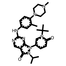 Cc1cc(Nc2ncc3c(=O)n(C(C)C)n(-c4ccc(=O)n(C(C)(C)C)c4)c3n2)ccc1N1CCN(C)CC1